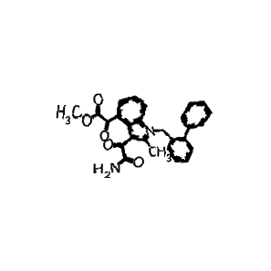 COC(=O)C(=O)c1cccc2c1c(C(=O)C(N)=O)c(C)n2Cc1ccccc1-c1ccccc1